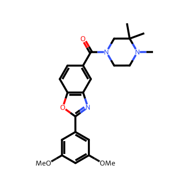 COc1cc(OC)cc(-c2nc3cc(C(=O)N4CCN(C)C(C)(C)C4)ccc3o2)c1